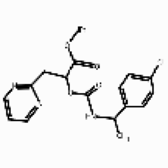 CC(C)OC(=O)C(Cc1ncccn1)OC(=O)NC(C)c1ccc(Cl)cc1